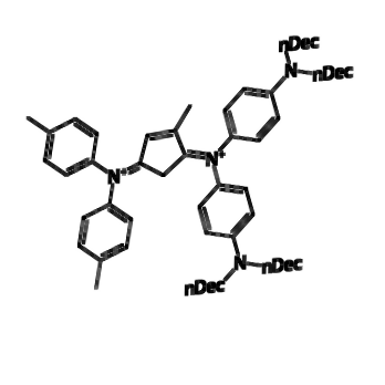 CCCCCCCCCCN(CCCCCCCCCC)c1ccc([N+](=C2CC(=[N+](c3ccc(C)cc3)c3ccc(C)cc3)C=C2C)c2ccc(N(CCCCCCCCCC)CCCCCCCCCC)cc2)cc1